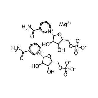 NC(=O)c1ccc[n+]([C@@H]2O[C@H](COP(=O)([O-])[O-])[C@@H](O)[C@H]2O)c1.NC(=O)c1ccc[n+]([C@@H]2O[C@H](COP(=O)([O-])[O-])[C@@H](O)[C@H]2O)c1.[Mg+2]